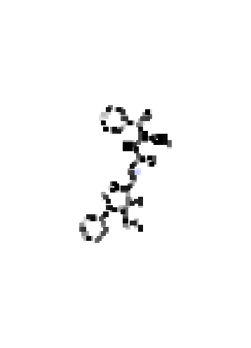 CN(NC(=O)/C=C/C(=O)NN(C)C(=S)c1ccccc1)C(=S)c1ccccc1